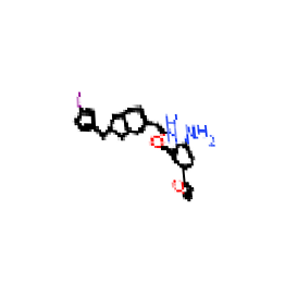 C=C1CC(c2ccco2)=CC=C(N)C1NC(=O)CC1=CCC2CC(CC3=CCC(I)C3)CC2C1